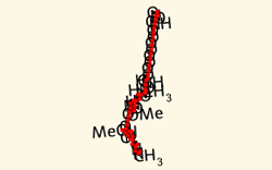 COc1cc2c(cc1OCCCCCOc1cc3c(cc1OC)C(=O)N1C=C(c4ccc(NC(=O)[C@H](C)NC(=O)CNC(=O)CCOCCOCCOCCOCCOCCOCCOCCOCCNC(=O)CCN5C(=O)C=CC5=O)cc4)C[C@H]1C=N3)N=CC1CC(c3ccc(N4CCN(C)CC4)cc3)=CN1C2=O